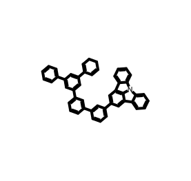 C1=CC(c2cc(-c3ccccc3)cc(-c3cccc(-c4cccc(-c5cc6c7ccccc7n7c8ccccc8c(c5)c67)c4)c3)c2)=CCC1